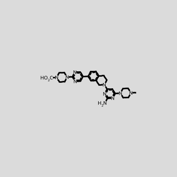 CN1CCN(c2cc(N3CCc4ccc(-c5cnc(N6CCN(C(=O)O)CC6)nc5)cc4C3)nc(N)n2)CC1